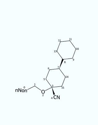 CCCCCCCCCCO[C@]1(C#N)CC[C@@H](C2CCCCC2)CC1